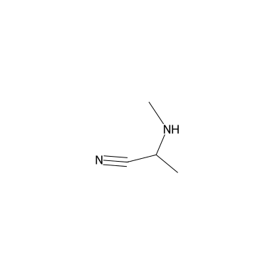 CNC(C)C#N